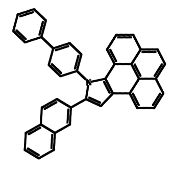 c1ccc(-c2ccc(-n3c(-c4ccc5ccccc5c4)cc4c5cccc6ccc7cccc(c7c65)c43)cc2)cc1